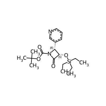 CC[Si](CC)(CC)O[C@@H]1C(=O)N(C(=O)OC(C)(C)C)[C@@H]1c1cccnc1